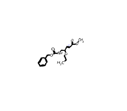 CCCOC(/C=C/C(=O)OC)CNC(=O)OCc1ccccc1